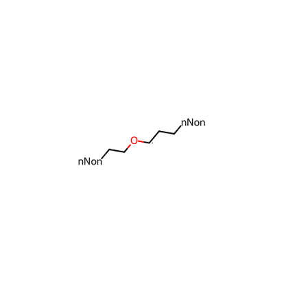 CCCCCCCCCCC[CH]OCCCCCCCCCCC